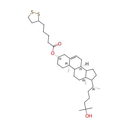 C[C@H](CCCC(C)(C)O)C1CCC2[C@@H]3CC=C4C[C@@H](OC(=O)CCCCC5CCSS5)CC[C@]4(C)C3CC[C@@]21C